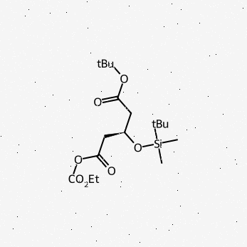 CCOC(=O)OC(=O)C[C@@H](CC(=O)OC(C)(C)C)O[Si](C)(C)C(C)(C)C